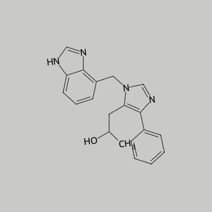 CC(O)Cc1c(-c2ccccc2)ncn1Cc1cccc2[nH]cnc12